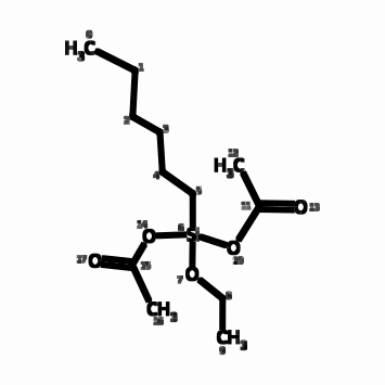 CCCCCC[Si](OCC)(OC(C)=O)OC(C)=O